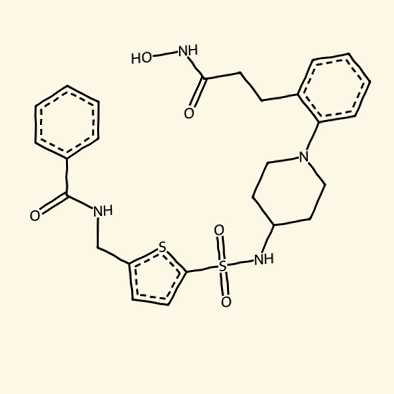 O=C(CCc1ccccc1N1CCC(NS(=O)(=O)c2ccc(CNC(=O)c3ccccc3)s2)CC1)NO